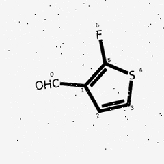 O=Cc1ccsc1F